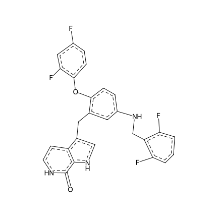 O=c1[nH]ccc2c(Cc3cc(NCc4c(F)cccc4F)ccc3Oc3ccc(F)cc3F)c[nH]c12